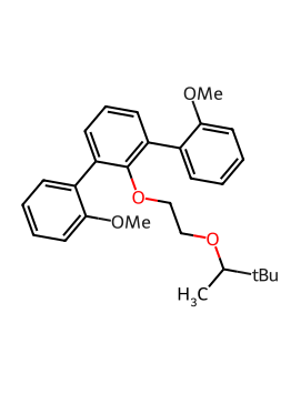 COc1ccccc1-c1cccc(-c2ccccc2OC)c1OCCOC(C)C(C)(C)C